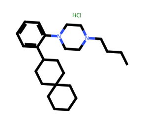 CCCCN1CCN(c2ccccc2C2CCC3(CCCCC3)CC2)CC1.Cl